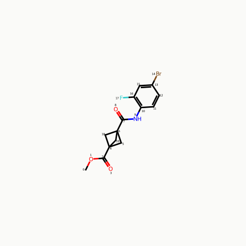 COC(=O)C12CC(C(=O)Nc3ccc(Br)cc3F)(C1)C2